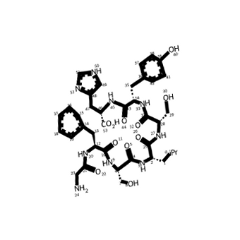 CC(C)C[C@H](NC(=O)[C@H](CO)NC(=O)[C@H](Cc1ccccc1)NC(=O)CN)C(=O)N[C@@H](CO)C(=O)N[C@@H](Cc1ccc(O)cc1)C(=O)N[C@@H](Cc1c[nH]cn1)C(=O)O